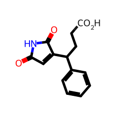 O=C(O)CCC(C1=CC(=O)NC1=O)c1ccccc1